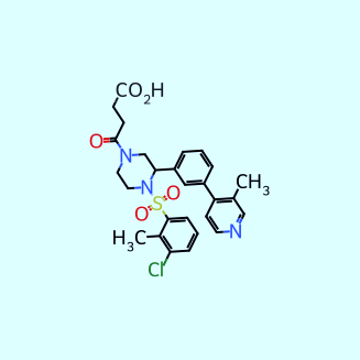 Cc1cnccc1-c1cccc(C2CN(C(=O)CCC(=O)O)CCN2S(=O)(=O)c2cccc(Cl)c2C)c1